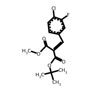 COC(=O)/C(=C\c1ccc(Cl)c(F)c1)C(=O)OC(C)(C)C